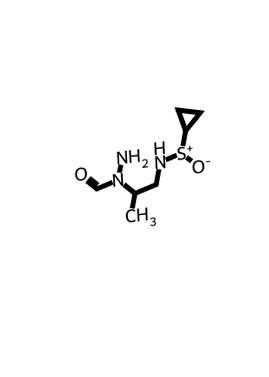 CC(CN[S+]([O-])C1CC1)N(N)C=O